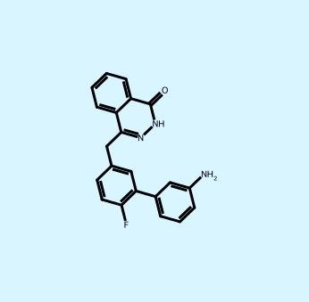 Nc1cccc(-c2cc(Cc3n[nH]c(=O)c4ccccc34)ccc2F)c1